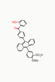 COc1ccc(-c2c3ccccc3c(-c3ccc(C(=O)c4ccccc4O)cc3)c3ccccc23)cc1S(=O)(=O)O